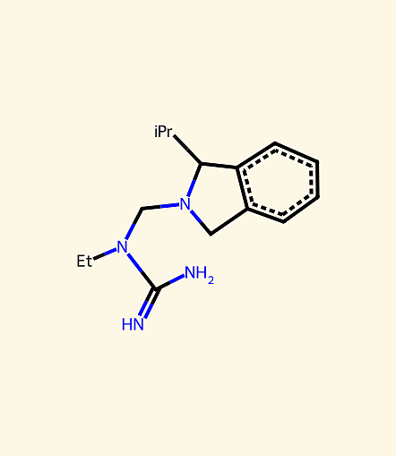 CCN(CN1Cc2ccccc2C1C(C)C)C(=N)N